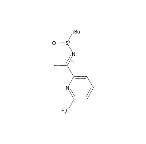 C/C(=N\[S+]([O-])C(C)(C)C)c1cccc(C(F)(F)F)n1